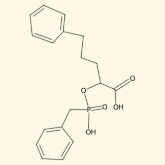 O=C(O)C(CCCc1ccccc1)OP(=O)(O)Cc1ccccc1